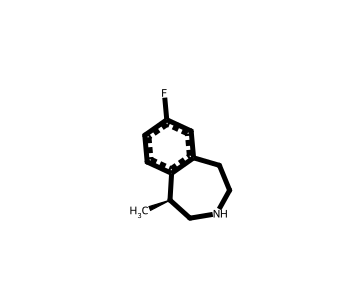 C[C@@H]1CNCCc2cc(F)ccc21